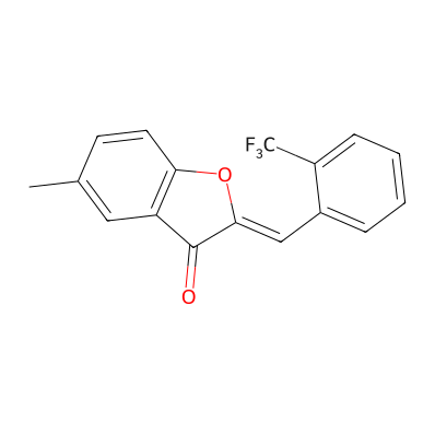 Cc1ccc2c(c1)C(=O)/C(=C/c1ccccc1C(F)(F)F)O2